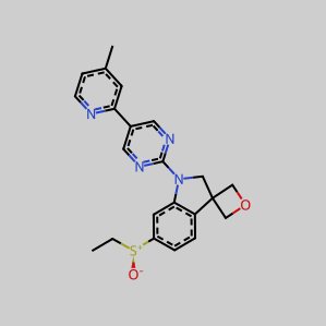 CC[S@+]([O-])c1ccc2c(c1)N(c1ncc(-c3cc(C)ccn3)cn1)CC21COC1